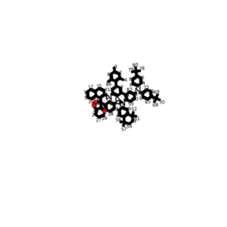 Cc1cc(C)c(-c2cc3c4c(c2)N2c5ccc6ccccc6c5C5(c6ccccc6-c6ccccc65)c5cccc(c52)B4N(c2ccc4c(c2)C(C)(C)CCC4(C)C)c2ccc(N(c4ccc(C(C)(C)C)cc4)c4ccc(C(C)(C)C)cc4)cc2-3)c(C)c1